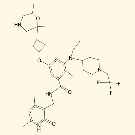 CCN(c1cc(OC2CC(C3(C)CNCC(C)O3)C2)cc(C(=O)NCc2c(C)cc(C)[nH]c2=O)c1C)C1CCN(CC(F)(F)F)CC1